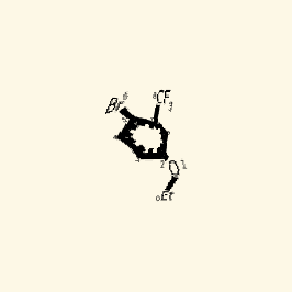 CCOc1ccc(Br)c(C(F)(F)F)c1